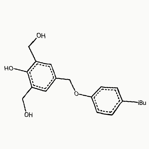 CCC(C)c1ccc(OCc2cc(CO)c(O)c(CO)c2)cc1